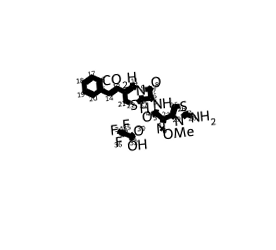 CO/N=C(/C(=O)NC1C(=O)N2C(C(=O)O)=C(/C=C/c3ccccc3)CS[C@H]12)c1csc(N)n1.O=C(O)C(F)(F)F